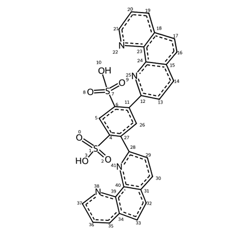 O=S(=O)(O)c1cc(S(=O)(=O)O)c(-c2ccc3ccc4cccnc4c3n2)cc1-c1ccc2ccc3cccnc3c2n1